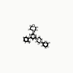 Fc1ccccc1-c1cc(N2CCN(c3ccccn3)CC2)nc(N2CCOCC2)n1